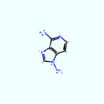 Nc1nccc2c1ncn2N